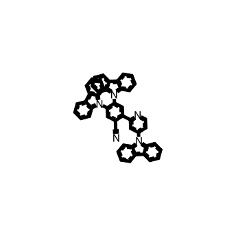 N#Cc1cc(-n2c3ccccc3c3ccccc32)c(-n2c3ccccc3c3ccccc32)cc1-c1cc(-n2c3ccccc3c3ccccc32)ccn1